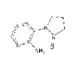 Nc1ncccc1N1CCCC1=O